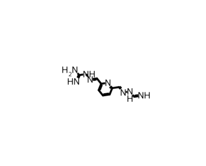 N=CN/N=C/c1cccc(/C=N/NC(=N)N)n1